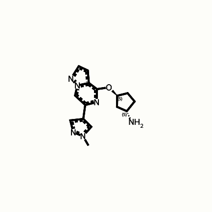 Cn1cc(-c2cn3nccc3c(O[C@H]3CC[C@H](N)C3)n2)cn1